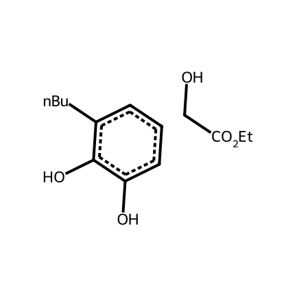 CCCCc1cccc(O)c1O.CCOC(=O)CO